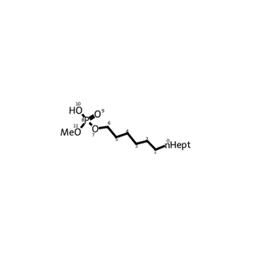 CCCCCCCCCCCCCOP(=O)(O)OC